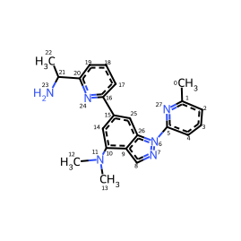 Cc1cccc(-n2ncc3c(N(C)C)cc(-c4cccc(C(C)N)n4)cc32)n1